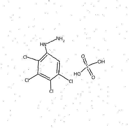 NNc1cc(Cl)c(Cl)c(Cl)c1Cl.O=S(=O)(O)O